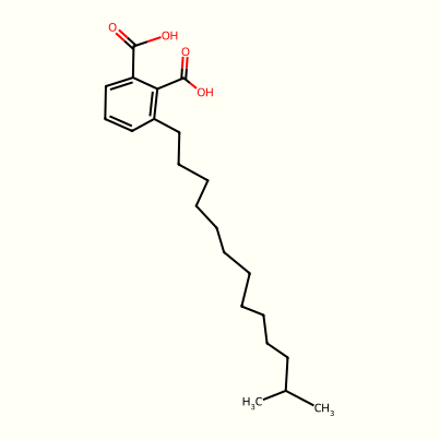 CC(C)CCCCCCCCCCCc1cccc(C(=O)O)c1C(=O)O